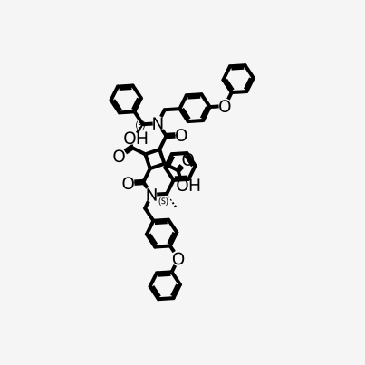 C[C@@H](c1ccccc1)N(Cc1ccc(Oc2ccccc2)cc1)C(=O)C1C(C(=O)O)C(C(=O)N(Cc2ccc(Oc3ccccc3)cc2)[C@@H](C)c2ccccc2)C1C(=O)O